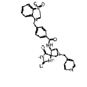 O=C1NC(=O)C2(CN(Cc3ccncc3)CC2NC(=O)c2ccc(CN3CCS(=O)(=O)c4ccccc43)cc2)N1